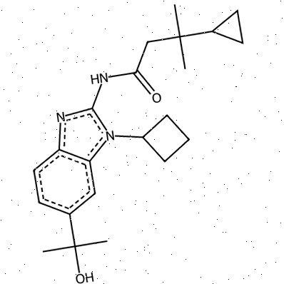 CC(C)(O)c1ccc2nc(NC(=O)CC(C)(C)C3CC3)n(C3CCC3)c2c1